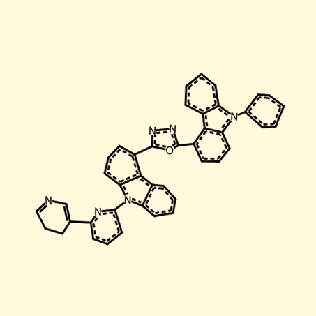 C1=NC=C(c2cccc(-n3c4ccccc4c4c(-c5nnc(-c6cccc7c6c6ccccc6n7-c6ccccc6)o5)cccc43)n2)CC1